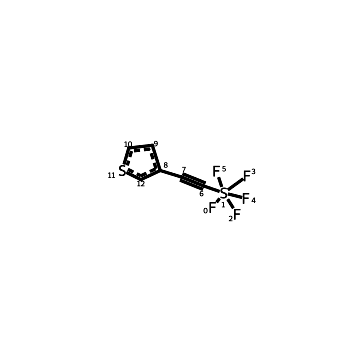 FS(F)(F)(F)(F)C#Cc1ccsc1